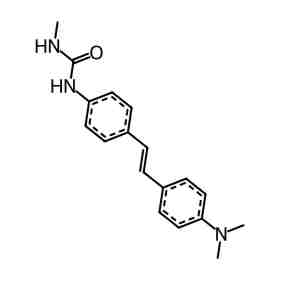 CNC(=O)Nc1ccc(/C=C/c2ccc(N(C)C)cc2)cc1